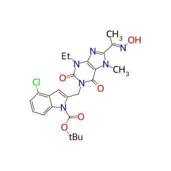 CCn1c(=O)n(Cc2cc3c(Cl)cccc3n2C(=O)OC(C)(C)C)c(=O)c2c1nc(/C(C)=N/O)n2C